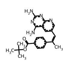 CC(=Cc1cnc2nc(N)nc(N)c2c1)c1ccc(C(=O)OC(C)(C)C)cc1